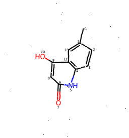 Cc1ccc2[nH]c(=O)cc(O)c2c1